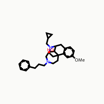 COc1ccc2c(c1)C13CCN(CCCc4ccccc4)CCC1(O)C(C2)N(CC1CC1)CC3